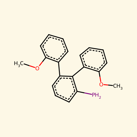 COc1ccccc1-c1cccc(P)c1-c1ccccc1OC